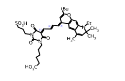 CCN1c2cc3c(cc2C(C)=CC1(C)C)/C(=C/C=C/C=C1\C(=O)N(CCCCCC(=O)O)C(=O)N(CCCS(=O)(=O)O)C1=O)C=C(C(C)(C)C)O3